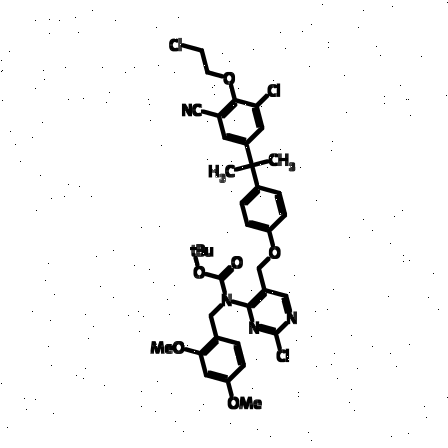 COc1ccc(CN(C(=O)OC(C)(C)C)c2nc(Cl)ncc2COc2ccc(C(C)(C)c3cc(Cl)c(OCCCl)c(C#N)c3)cc2)c(OC)c1